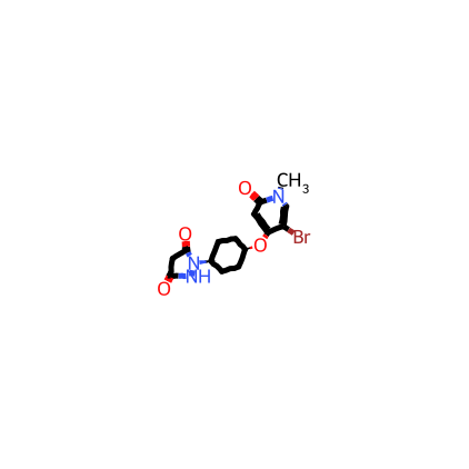 Cn1cc(Br)c(O[C@H]2CC[C@H](N3NC(=O)CC3=O)CC2)cc1=O